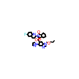 CCCOCn1cnc2cc(-n3cccn3)c(C(C)Oc3cc4cc(F)ccc4nc3N3C(=O)c4ccccc4C3=O)cc21